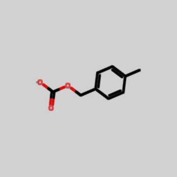 Cc1ccc(COC([O])=O)cc1